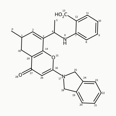 CC1C=C(C(C)Nc2ccccc2C(=O)O)c2oc(N3Cc4ccccc4C3)cc(=O)c2C1